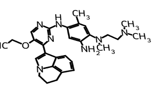 Cc1cc(N(C)CCN(C)C)c(N)cc1Nc1ncc(OCC#N)c(-c2cn3c4c(cccc24)CCC3)n1